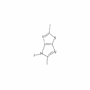 Cc1nc2c(nc(C)n2I)s1